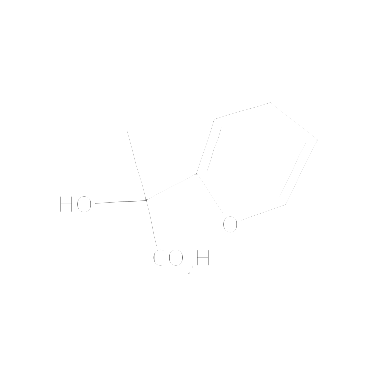 CC(O)(C(=O)O)C1=CCC=CO1